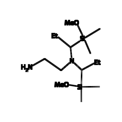 CCC(N(CCN)C(CC)[Si](C)(C)OC)[Si](C)(C)OC